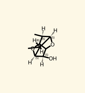 C[C@@H]1[C@@H]2OC3[C@@H](O)[C@H]1O[C@@H]3[C@H]2C